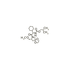 COC[C@@H]1CC2(CN1C(=O)C(NC(=O)OCC(C)C)C1CCCCC1)OCCO2